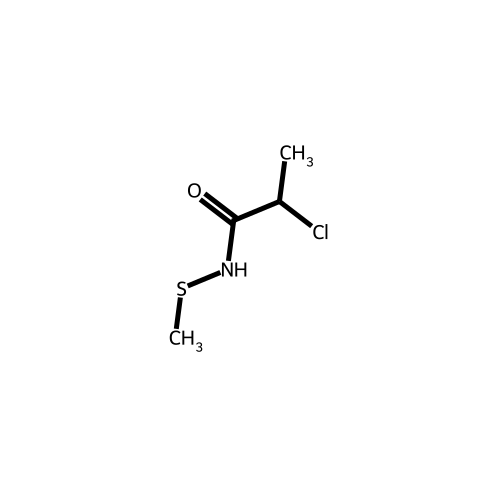 CSNC(=O)C(C)Cl